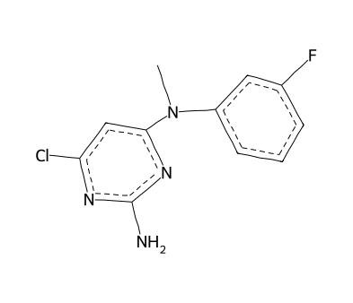 CN(c1cccc(F)c1)c1cc(Cl)nc(N)n1